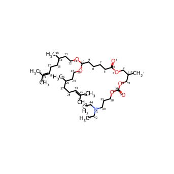 [CH2]C(COC(=O)CCCCC(OCCC(C)CCC=C(C)C)OCCC(C)CCC=C(C)C)COC(=O)OCCCN(CC)CC